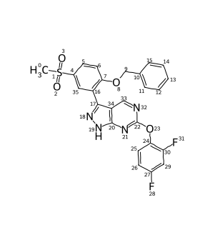 CS(=O)(=O)c1ccc(OCc2ccccc2)c(-c2n[nH]c3nc(Oc4ccc(F)cc4F)ncc23)c1